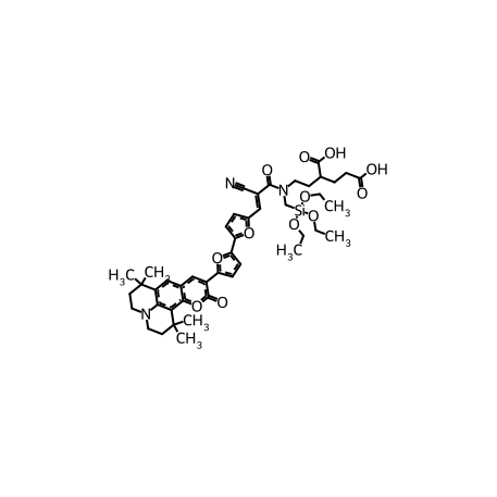 CCO[Si](CN(CCC(CCC(=O)O)C(=O)O)C(=O)/C(C#N)=C/c1ccc(-c2ccc(-c3cc4cc5c6c(c4oc3=O)C(C)(C)CCN6CCC5(C)C)o2)o1)(OCC)OCC